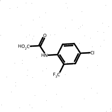 O=C(O)C(=O)Nc1ccc(Cl)cc1C(F)(F)F